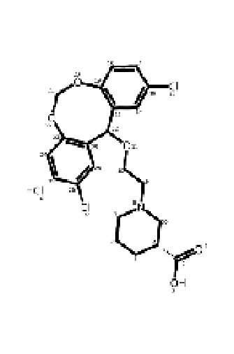 Cl.O=C(O)[C@@H]1CCCN(CCOC2c3cc(Cl)ccc3OCOc3ccc(Cl)cc32)C1